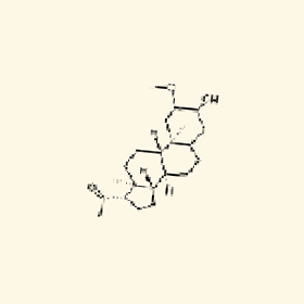 COC1C[C@@]2(C)C(CC[C@H]3[C@@H]4CC[C@H](C(C)=O)[C@@]4(C)CC[C@@H]32)CC1O